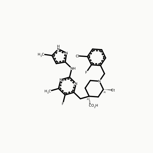 CC[C@@H]1C[C@](Cc2nc(Nc3cc(C)[nH]n3)nc(C)c2F)(C(=O)O)CCN1Cc1cccc(Cl)c1F